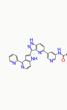 CCCC(=O)Nc1cncc(-c2ccc3[nH]nc(-c4cc5c(-c6ccccn6)nccc5[nH]4)c3n2)c1